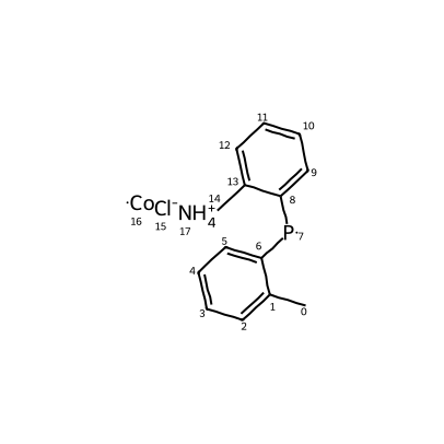 Cc1ccccc1[P]c1ccccc1C.[Cl-].[Co].[NH4+]